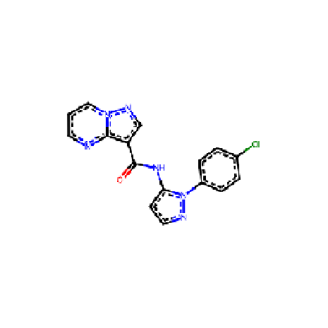 O=C(Nc1ccnn1-c1ccc(Cl)cc1)c1cnn2cccnc12